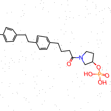 Cc1ccc(CCc2ccc(CCCC(=O)N3CC[C@@H](OP(=O)(O)O)C3)cc2)cc1